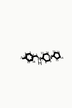 [CH2]c1ccc(CNC2CCN(C3CCCC3)CC2)cc1